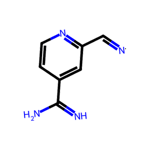 [N]=Cc1cc(C(=N)N)ccn1